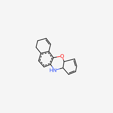 C1=CC2Nc3ccc4c(c3OC2C=C1)C=CCC4